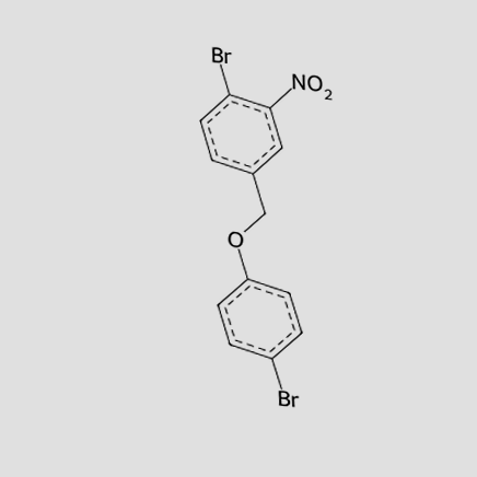 O=[N+]([O-])c1cc(COc2ccc(Br)cc2)ccc1Br